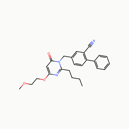 CCCCc1nc(OCCOC)cc(=O)n1Cc1ccc(-c2ccccc2)c(C#N)c1